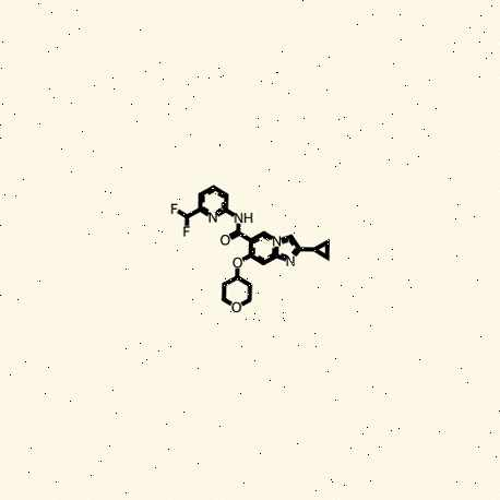 O=C(Nc1cccc(C(F)F)n1)c1cn2cc(C3CC3)nc2cc1OC1CCOCC1